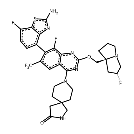 Nc1nc2c(-c3c(C(F)(F)F)cc4c(N5CCC6(CC5)CNC(=O)C6)nc(OC[C@@]56CCCN5C[C@H](F)C6)nc4c3F)ccc(F)c2s1